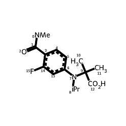 CNC(=O)c1ccc(N(C(C)C)C(C)(C)C(=O)O)cc1F